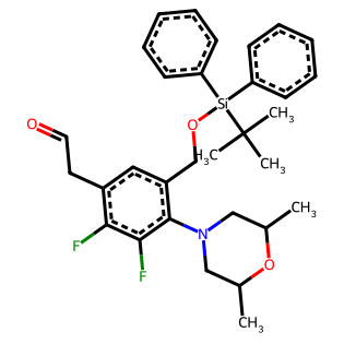 CC1CN(c2c(CO[Si](c3ccccc3)(c3ccccc3)C(C)(C)C)cc(CC=O)c(F)c2F)CC(C)O1